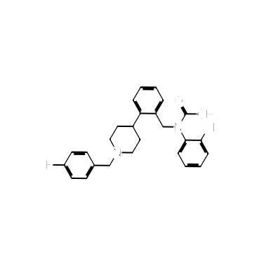 CC(=O)N(Cc1ccccc1C1CCN(Cc2ccc(F)cc2)CC1)c1ccccc1Cl